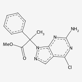 COC(=O)C(C)(c1ccccc1)n1ncc2c(Cl)nc(N)nc21